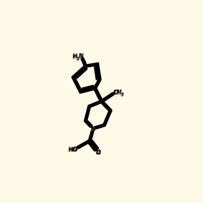 CC1(c2ccc(N)cc2)CCN(C(=O)O)CC1